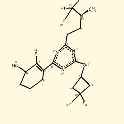 C[C@@H](CCc1nc(NC2CC(F)(F)C2)nc(C2=C(F)C(O)CCC2)n1)C(F)(F)F